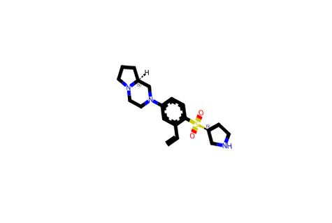 C=Cc1cc(N2CCN3CCC[C@H]3C2)ccc1S(=O)(=O)[C@H]1CCNC1